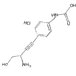 Cl.NC(C#Cc1ccc(NC(=O)O)cc1)CO